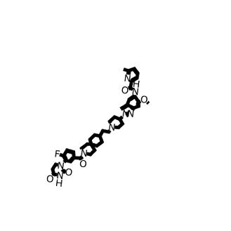 COc1cc2nn(C3CCN(CCC4CCC5(CC4)CCN(C(=O)c4ccc(F)c(N6CCC(=O)NC6=O)c4)CC5)CC3)cc2cc1NC(=O)c1cccc(C)n1